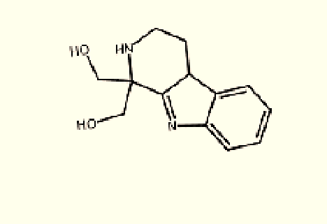 OCC1(CO)NCCC2C1=Nc1ccccc12